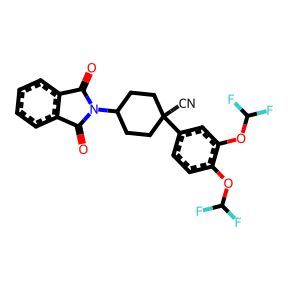 N#CC1(c2ccc(OC(F)F)c(OC(F)F)c2)CCC(N2C(=O)c3ccccc3C2=O)CC1